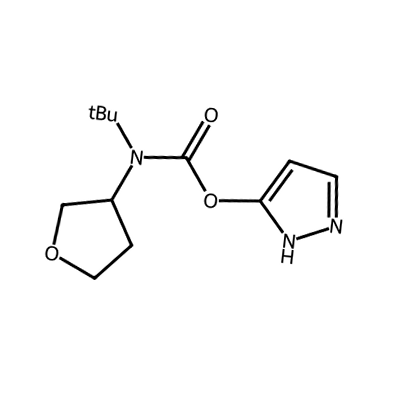 CC(C)(C)N(C(=O)Oc1ccn[nH]1)C1CCOC1